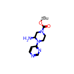 CC(C)(C)OC(=O)N1CCN(c2ccncn2)C(N)C1